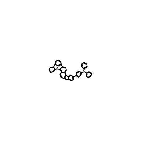 c1ccc(N(c2ccccc2)c2ccc(-c3ccc4sc5ccc6c(ccc7c8cccc9c%10ccccc%10n(c67)c98)c5c4c3)cc2)cc1